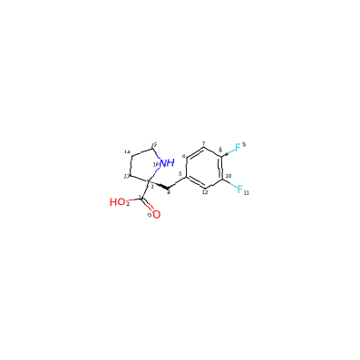 O=C(O)[C@]1(Cc2ccc(F)c(F)c2)CCCN1